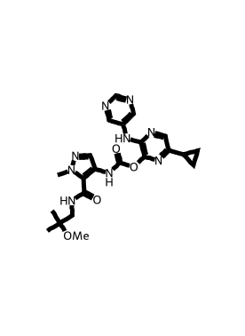 COC(C)(C)CNC(=O)c1c(NC(=O)Oc2nc(C3CC3)cnc2Nc2cncnc2)cnn1C